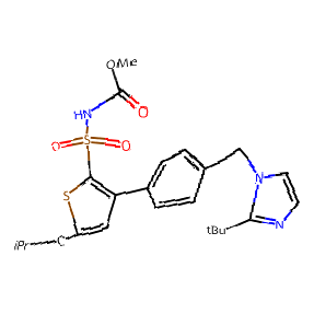 COC(=O)NS(=O)(=O)c1sc(CC(C)C)cc1-c1ccc(Cn2ccnc2C(C)(C)C)cc1